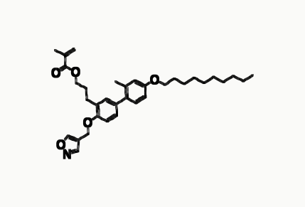 C=C(C)C(=O)OCCCc1cc(-c2ccc(OCCCCCCCCCC)cc2C)ccc1OCc1cnoc1